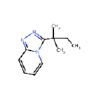 CCC(C)(C)c1nnc2ccccn12